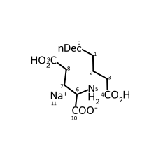 CCCCCCCCCCCCCC(=O)O.NC(CCC(=O)O)C(=O)[O-].[Na+]